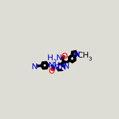 Cn1ccc2cc(-c3nn4c(c3C(N)=O)CN(C(=O)Nc3ccc(C#N)cc3)CC4)ccc21